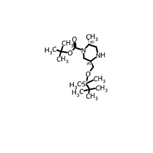 C[C@@H]1CN[C@@H](CO[Si](C)(C)C(C)(C)C)CN1C(=O)OC(C)(C)C